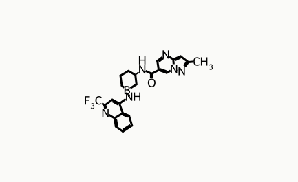 Cc1cc2ncc(C(=O)N[C@@H]3CCCB(Nc4cc(C(F)(F)F)nc5ccccc45)C3)cn2n1